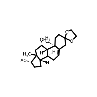 CC(=O)[C@H]1CC[C@H]2[C@@H]3CC=C4CC5(CC[C@]4(C)[C@H]3[C@@H](O)CC12C)OCCO5